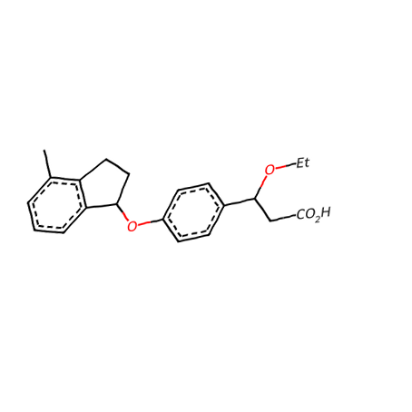 CCOC(CC(=O)O)c1ccc(OC2CCc3c(C)cccc32)cc1